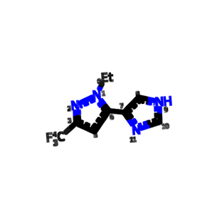 CCn1nc(C(F)(F)F)cc1-c1c[nH]cn1